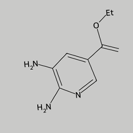 C=C(OCC)c1cnc(N)c(N)c1